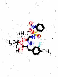 Cc1ccc(C[C@H](NC(=O)[C@H](C)NS(=O)(=O)c2ccccc2[N+](=O)[O-])C(=O)OC(C)(C)C)cc1F